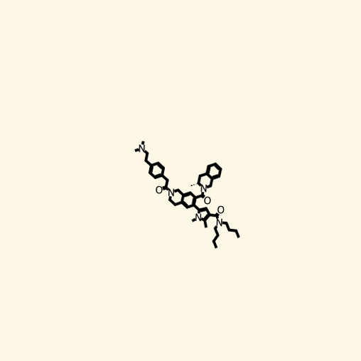 CCCCN(CCCC)C(=O)c1cc(-c2cc3c(cc2C(=O)N2Cc4ccccc4C[C@H]2C)CN(C(=O)Cc2ccc(CCN(C)C)cc2)CC3)n(C)c1C